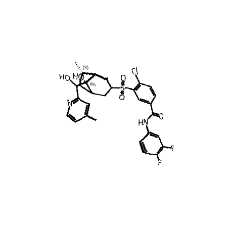 Cc1ccnc(C(O)[C@@]2(O)C3CC(S(=O)(=O)c4cc(C(=O)Nc5ccc(F)c(F)c5)ccc4Cl)CC2[C@@H](C)C3)c1